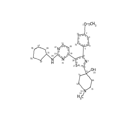 COc1ccc(-c2nc(C3(O)CCN(C)CC3)sc2-c2ccnc(NC3CCCCC3)n2)cc1